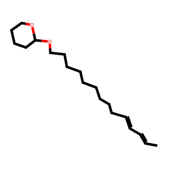 CC=CC=CCCCCCCCCCOC1CCCCO1